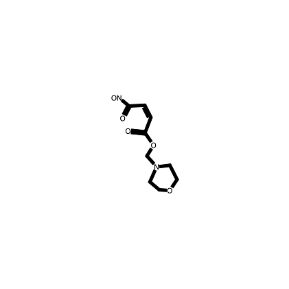 O=NC(=O)/C=C\C(=O)OCN1CCOCC1